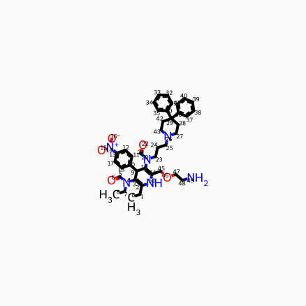 CCC1=C(N(C=O)CC)C(c2ccc([N+](=O)[O-])cc2)C(N(C=O)CCCN2CCC(c3ccccc3)(c3ccccc3)CC2)=C(COCCN)N1